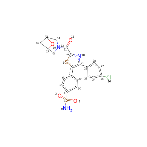 NS(=O)(=O)c1ccc(-c2sc(C(=O)N3CC4CC(C3)O4)nc2-c2ccc(Cl)cc2)cc1